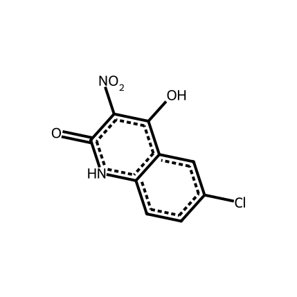 O=c1[nH]c2ccc(Cl)cc2c(O)c1[N+](=O)[O-]